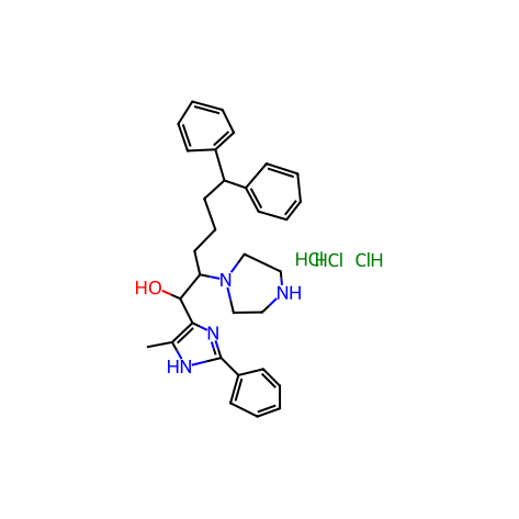 Cc1[nH]c(-c2ccccc2)nc1C(O)C(CCCC(c1ccccc1)c1ccccc1)N1CCNCC1.Cl.Cl.Cl